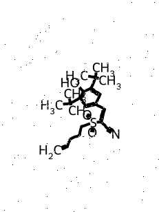 C=CCCCS(=O)(=O)C(C#N)=Cc1cc(C(C)(C)C)c(O)c(C(C)(C)C)c1